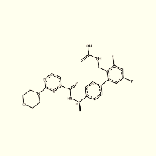 C[C@@H](NC(=O)c1ccnc(N2CCOCC2)n1)c1ccc(-c2cc(F)cc(F)c2CNC(=O)O)cc1